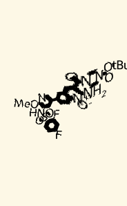 COc1ncc(-c2ccc3c(c2)cc(C(=O)N2CCN(C(=O)OC(C)(C)C)CC2)c(N)[n+]3[O-])cc1NS(=O)(=O)c1ccc(F)cc1F